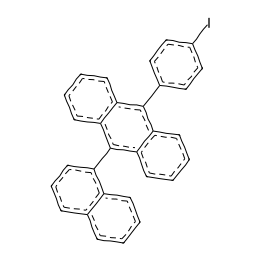 Ic1ccc(-c2c3ccccc3c(-c3cccc4ccccc34)c3ccccc23)cc1